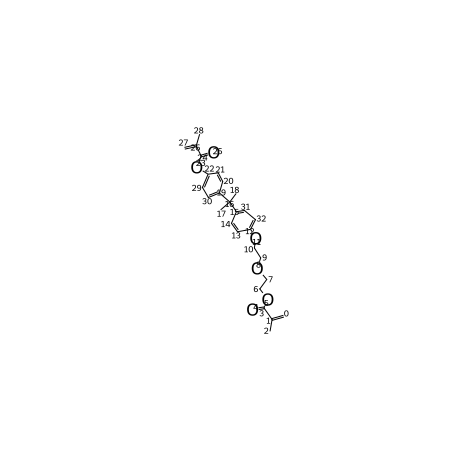 C=C(C)C(=O)OCCOCCOc1ccc(C(C)(C)c2ccc(OC(=O)C(=C)C)cc2)cc1